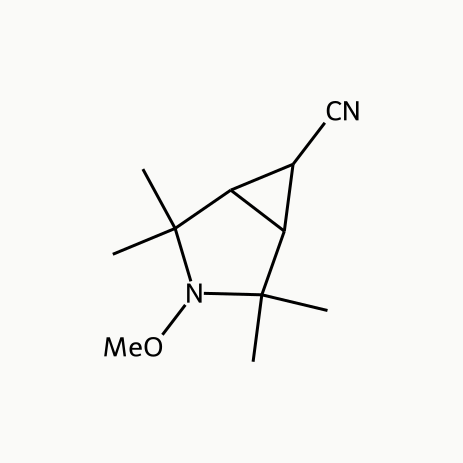 CON1C(C)(C)C2C(C#N)C2C1(C)C